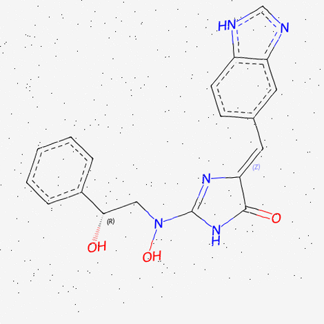 O=C1NC(N(O)C[C@H](O)c2ccccc2)=N/C1=C\c1ccc2[nH]cnc2c1